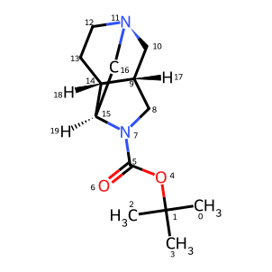 CC(C)(C)OC(=O)N1C[C@H]2C[N@]3CC[C@H]2[C@H]1C3